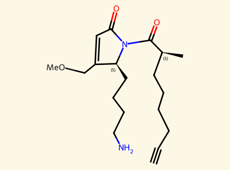 C#CCCCC[C@H](C)C(=O)N1C(=O)C=C(COC)[C@@H]1CCCCN